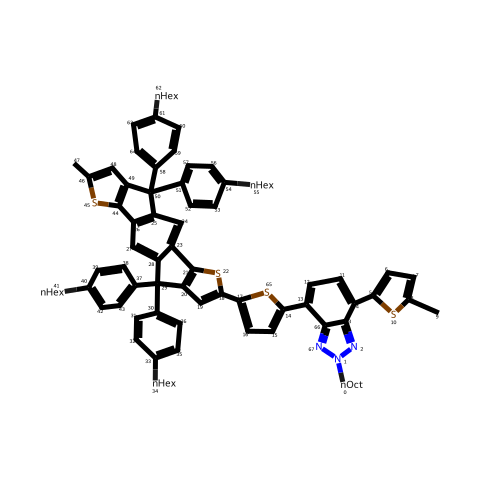 CCCCCCCCn1nc2c(-c3ccc(C)s3)ccc(-c3ccc(-c4cc5c(s4)-c4cc6c(cc4C5(c4ccc(CCCCCC)cc4)c4ccc(CCCCCC)cc4)-c4sc(C)cc4C6(c4ccc(CCCCCC)cc4)c4ccc(CCCCCC)cc4)s3)c2n1